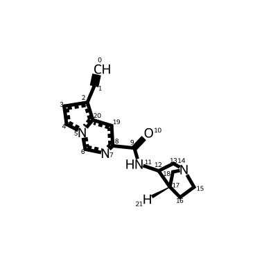 C#Cc1ccn2cnc(C(=O)NC3CN4CC[C@H]3C4)cc12